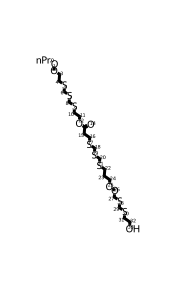 CCCOOCCSCSCSCCOC(=O)CCSCSCSCCCOOCSCSCCO